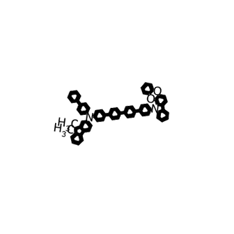 CC1(C)c2ccccc2-c2ccc(N(c3ccc(-c4ccccc4)cc3)c3ccc(-c4ccc(-c5ccc(-c6ccc(-n7c8ccccc8c8ccc9c(c87)Oc7ccccc7O9)cc6)cc5)cc4)cc3)cc21